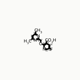 Cc1cc(C)nc(COc2ncc(F)cc2C(=O)O)n1